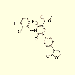 CCOC(=O)c1cn(-c2ccc(N3CCOC3=O)cc2)c(=O)n(Cc2c(F)ccc(F)c2Cl)c1=O